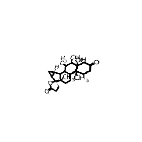 CC1C2C3[C@@H]4CC4[C@@]4(CCC(=O)O4)[C@@]3(C)CCC2[C@@]2(C)CCC(=O)C[C@@]2(O)[C@@H]1C